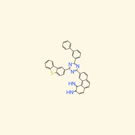 N=C1C=Cc2ccc3ccc(-c4nc(-c5cccc(-c6ccccc6)c5)nc(-c5ccc6sc7ccccc7c6c5)n4)cc3c2C1=N